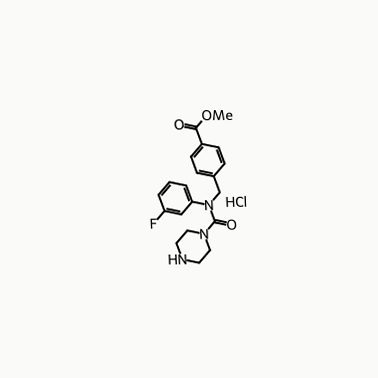 COC(=O)c1ccc(CN(C(=O)N2CCNCC2)c2cccc(F)c2)cc1.Cl